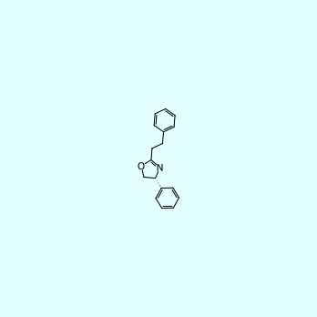 c1ccc(CCC2=N[C@H](c3ccccc3)CO2)cc1